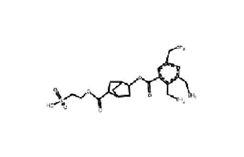 BCc1cc(CB)c(CB)c(C(=O)OC2CC3CC2CC3C(=O)OCCS(=O)(=O)O)c1